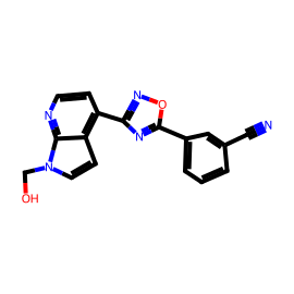 N#Cc1cccc(-c2nc(-c3ccnc4c3ccn4CO)no2)c1